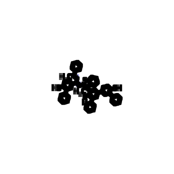 C/C(=C\C(=C/C(=S)C(C)(c1ccccc1)c1cc(-c2ccc(S)c(-c3ccccc3)c2)cc(-c2ccccc2)c1S)c1ccc(S)c(-c2ccccc2)c1)c1ccccc1